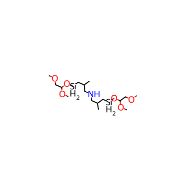 COCC(OC)O[SiH2]CC(C)CNCC(C)C[SiH2]OC(COC)OC